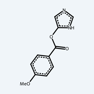 COc1ccc(C(=O)Oc2cnc[nH]2)cc1